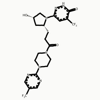 O=C(CC[C@@H]1C[C@H](O)CN1c1cc(C(F)(F)F)c(=O)[nH]n1)N1CCN(c2ncc(C(F)(F)F)cn2)CC1